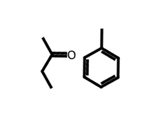 CCC(C)=O.Cc1ccccc1